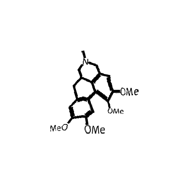 COc1cc2c(cc1OC)-c1c(OC)c(OC)cc3c1C(C2)CN(C)C3